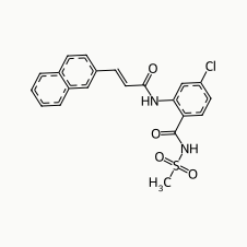 CS(=O)(=O)NC(=O)c1ccc(Cl)cc1NC(=O)C=Cc1ccc2ccccc2c1